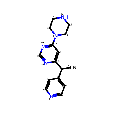 N#CC(c1ccncc1)c1cc(N2CCNCC2)ncn1